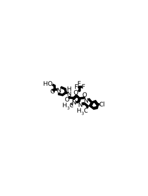 CCc1nc2c(c(OCC(F)(F)F)c(C(=O)NC3CCN(C(=O)CO)CC3)n2C)c(=O)n1Cc1cccc(Cl)c1